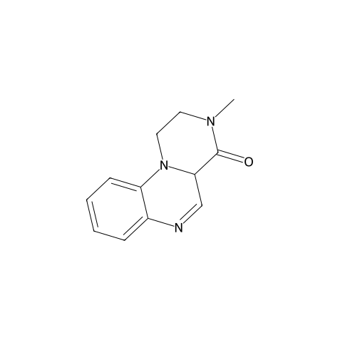 CN1CCN2c3ccccc3N=CC2C1=O